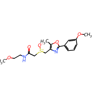 COCCNC(=O)C[S+]([O-])Cc1nc(-c2cccc(OC)c2)oc1C